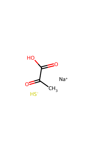 CC(=O)C(=O)O.[Na+].[SH-]